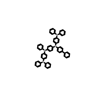 c1ccc(-c2ccc(N(c3ccc(N(c4ccccc4)c4ccccc4)cc3)c3ccc(N(c4ccccc4)c4ccc(N(c5ccccc5)c5ccccc5)cc4)cc3)cc2)cc1